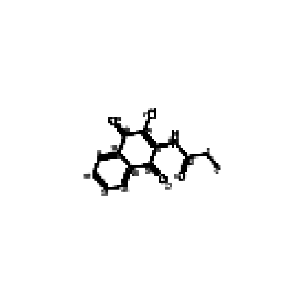 CCC(=O)NC1=C(Cl)C(=O)c2ccccc2C1=O